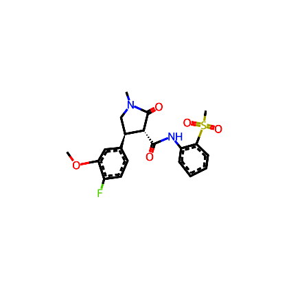 COc1cc([C@H]2CN(C)C(=O)[C@@H]2C(=O)Nc2ccccc2S(C)(=O)=O)ccc1F